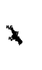 CCOCCOCC(O)CNC(=O)c1ncc(S(=O)(=O)c2ccc(OC(F)(F)F)cc2)cc1N